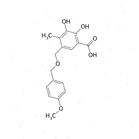 COc1ccc(COCc2cc(C(=O)O)c(O)c(O)c2C)cc1